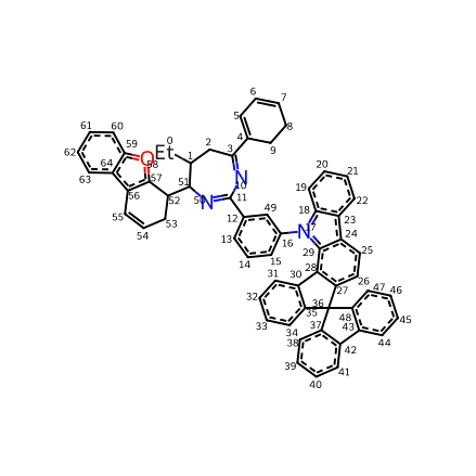 CCC1CC(C2=CC=CCC2)=NC(c2cccc(-n3c4ccccc4c4ccc5c(c43)-c3ccccc3C53c4ccccc4-c4ccccc43)c2)=NC1C1CC=Cc2c1oc1ccccc21